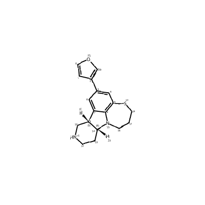 c1cc(-c2cc3c4c(c2)[C@H]2CNCC[C@H]2N4CCCS3)co1